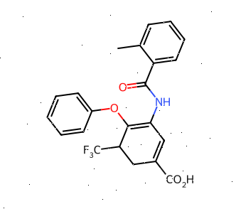 Cc1ccccc1C(=O)NC1=C(Oc2ccccc2)C(C(F)(F)F)CC(C(=O)O)=C1